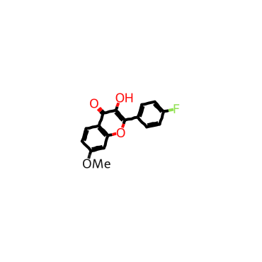 COc1ccc2c(=O)c(O)c(-c3ccc(F)cc3)oc2c1